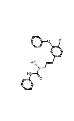 O=C(Nc1ccccc1)N(O)CC=Cc1ccc(F)c(Oc2ccccc2)c1